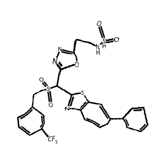 O=[SH](=O)NCc1nnc(C(c2nc3ccc(-c4ccccc4)cc3s2)S(=O)(=O)Cc2cccc(C(F)(F)F)c2)o1